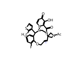 CC(=O)N1CC2(/C=C/COc3c(F)cccc3C(c3ccsc3C)N3CN2C(=O)c2c(O)c(=O)ccn23)C1